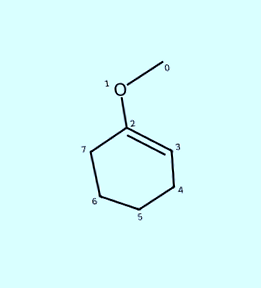 COC1=CCCCC1